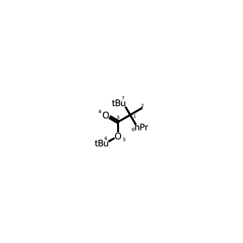 CCCC(C)(C(=O)OC(C)(C)C)C(C)(C)C